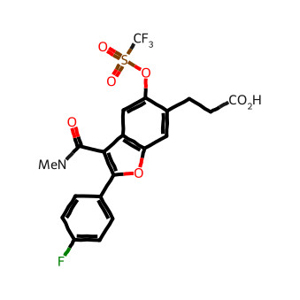 CNC(=O)c1c(-c2ccc(F)cc2)oc2cc(CCC(=O)O)c(OS(=O)(=O)C(F)(F)F)cc12